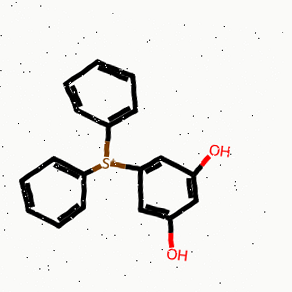 Oc1cc(O)cc([S+](c2ccccc2)c2ccccc2)c1